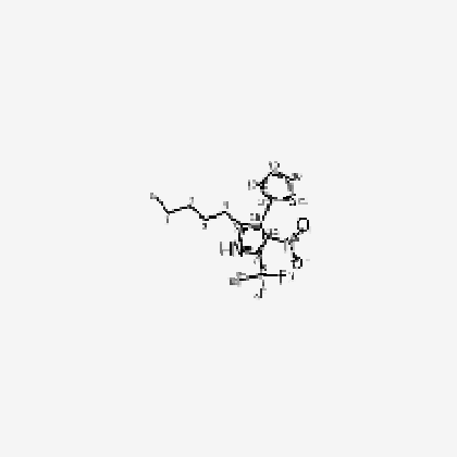 CCCCCc1[nH]c(C(F)(F)F)c([N+](=O)[O-])c1-c1cccs1